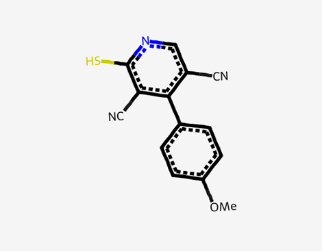 COc1ccc(-c2c(C#N)cnc(S)c2C#N)cc1